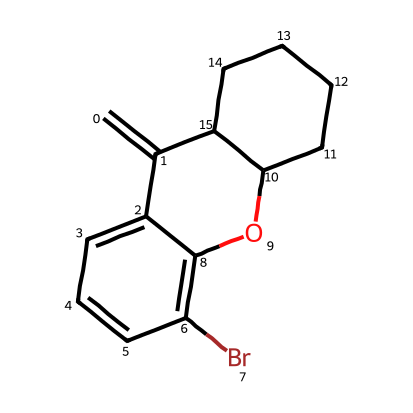 C=C1c2cccc(Br)c2OC2CCCCC12